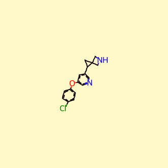 Clc1ccc(Oc2cncc(C3CC34CNC4)c2)cc1